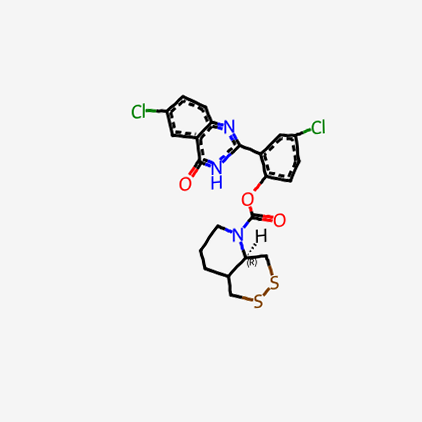 O=C(Oc1ccc(Cl)cc1-c1nc2ccc(Cl)cc2c(=O)[nH]1)N1CCCC2CSSC[C@@H]21